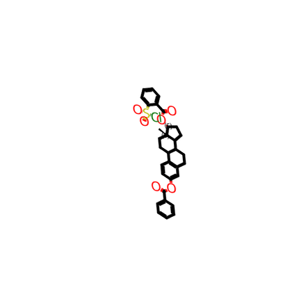 C[C@]12CCC3c4ccc(OC(=O)c5ccccc5)cc4CCC3C1CC[C@@H]2OC(=O)c1ccccc1S(=O)(=O)Cl